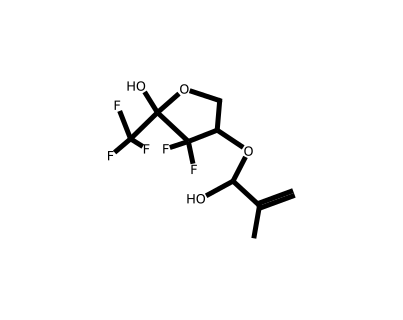 C=C(C)C(O)OC1COC(O)(C(F)(F)F)C1(F)F